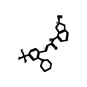 O=C(/C=C/c1ccc(C(F)(F)F)cc1N1CCCCC1)Nc1cccc2c1C[C@@H](O)C2